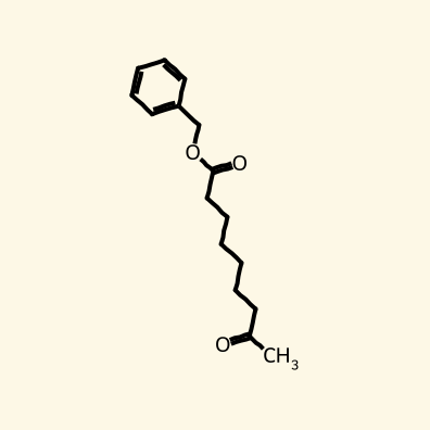 CC(=O)CCCCCCC(=O)OCc1ccccc1